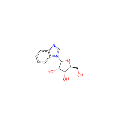 OC[C@@H]1OC(n2cnc3ccccc32)[C@@H](O)[C@H]1O